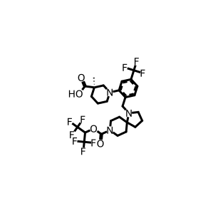 C[C@@]1(C(=O)O)CCCN(c2cc(C(F)(F)F)ccc2CN2CCCC23CCN(C(=O)OC(C(F)(F)F)C(F)(F)F)CC3)C1